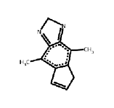 Cc1c2c(c(C)c3c1=NCN=3)CC=C2